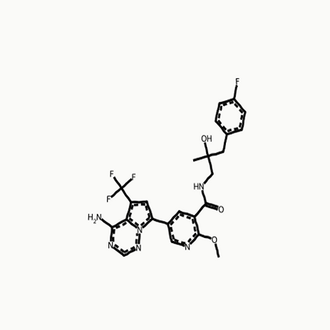 COc1ncc(-c2cc(C(F)(F)F)c3c(N)ncnn23)cc1C(=O)NCC(C)(O)Cc1ccc(F)cc1